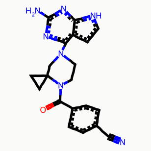 N#Cc1ccc(C(=O)N2CCN(c3nc(N)nc4[nH]ccc34)CC23CC3)cc1